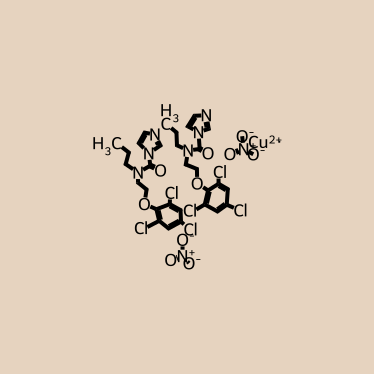 CCCN(CCOc1c(Cl)cc(Cl)cc1Cl)C(=O)n1ccnc1.CCCN(CCOc1c(Cl)cc(Cl)cc1Cl)C(=O)n1ccnc1.O=[N+]([O-])[O-].O=[N+]([O-])[O-].[Cu+2]